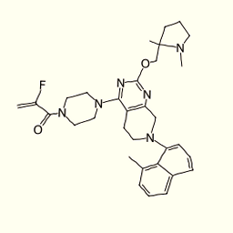 C=C(F)C(=O)N1CCN(c2nc(OCC3(C)CCCN3C)nc3c2CCN(c2cccc4cccc(C)c24)C3)CC1